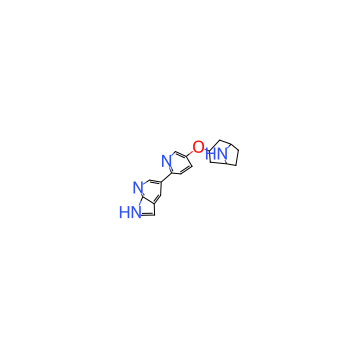 c1cc2cc(-c3ccc(OC4CC5CCC(C4)N5)cn3)cnc2[nH]1